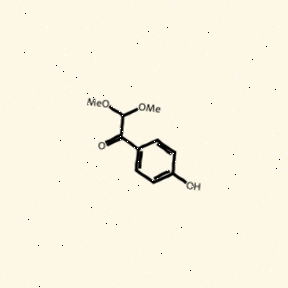 COC(OC)C(=O)c1ccc(O)cc1